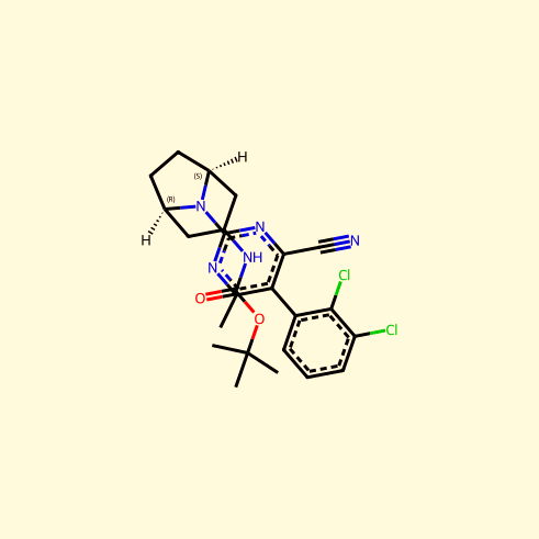 Cc1nc(N2[C@@H]3CC[C@H]2CC(NC(=O)OC(C)(C)C)C3)nc(C#N)c1-c1cccc(Cl)c1Cl